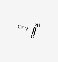 O=P.[Cu].[V]